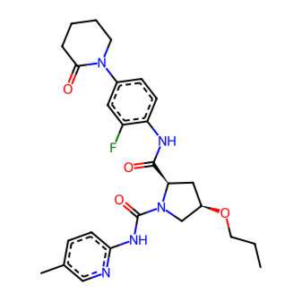 CCCO[C@@H]1C[C@H](C(=O)Nc2ccc(N3CCCCC3=O)cc2F)N(C(=O)Nc2ccc(C)cn2)C1